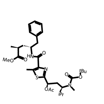 COC(=O)[C@@H](C)C[C@H](Cc1ccccc1)NC(=O)c1nc([C@@H](C[C@H](C(C)C)N(C)C(=O)OC(C)(C)C)OC(C)=O)sc1C